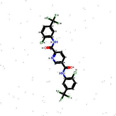 O=C(Nc1cc(C(F)(F)F)ccc1Cl)c1ccc(C(=O)Nc2cc(C(F)(F)F)ccc2Cl)nc1